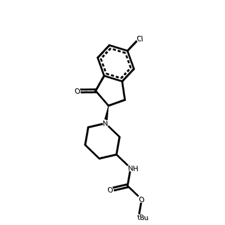 CC(C)(C)OC(=O)NC1CCCN([C@@H]2Cc3cc(Cl)ccc3C2=O)C1